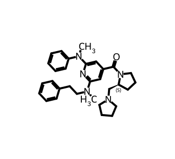 CN(CCc1ccccc1)c1cc(C(=O)N2CCC[C@H]2CN2CCCC2)cc(N(C)c2ccccc2)n1